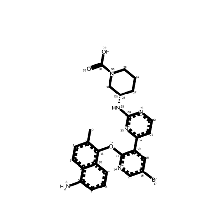 Cc1ccc2c(N)cccc2c1Oc1ncc(Br)cc1-c1ccnc(N[C@H]2CCCN(C(=O)O)C2)n1